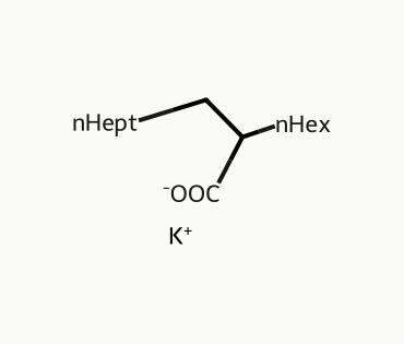 CCCCCCCCC(CCCCCC)C(=O)[O-].[K+]